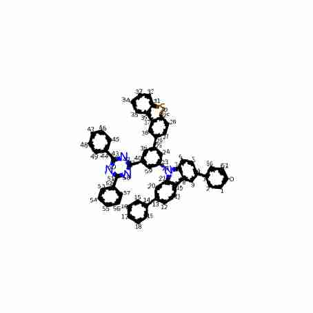 c1ccc(-c2ccc3c(c2)c2ccc(-c4ccccc4)cc2n3-c2cc(-c3ccc4sc5ccccc5c4c3)cc(-c3nc(-c4ccccc4)nc(-c4ccccc4)n3)c2)cc1